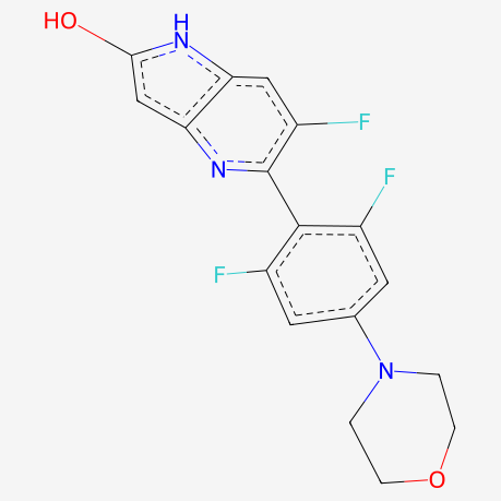 Oc1cc2nc(-c3c(F)cc(N4CCOCC4)cc3F)c(F)cc2[nH]1